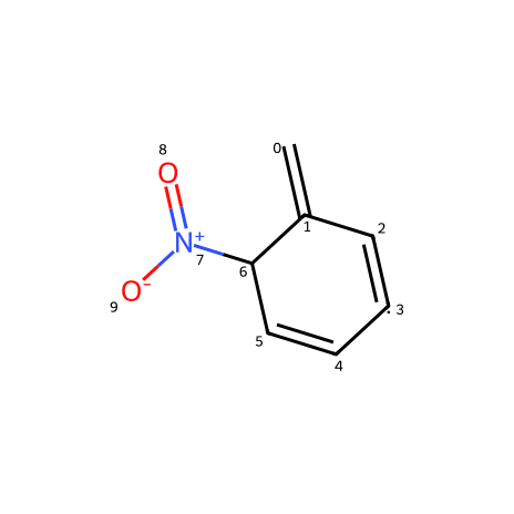 C=C1C=[C]C=CC1[N+](=O)[O-]